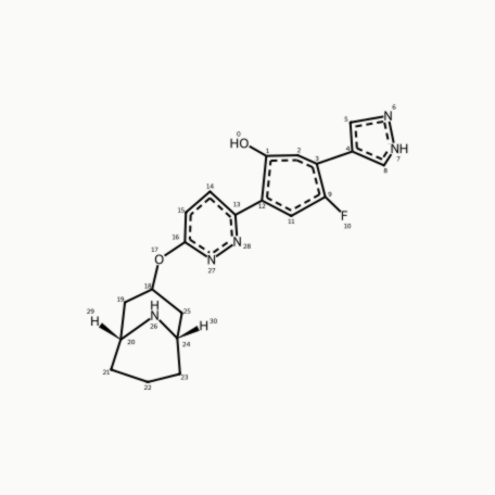 Oc1cc(-c2cn[nH]c2)c(F)cc1-c1ccc(OC2C[C@H]3CCC[C@@H](C2)N3)nn1